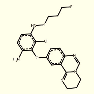 Nc1ccc(NSCCCF)c(Cl)c1Oc1ccc2c(c1)C1=NCCCN1C=N2